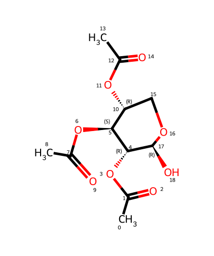 CC(=O)O[C@@H]1[C@@H](OC(C)=O)[C@H](OC(C)=O)CO[C@H]1O